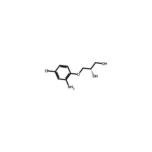 Nc1cc(Cl)ccc1OC[C@@H](O)CO